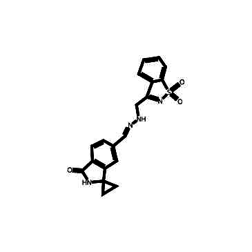 O=C1NC2(CC2)c2cc(/C=N/NCC3=NS(=O)(=O)c4ccccc43)ccc21